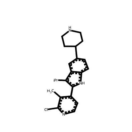 Cc1c(-c2[nH]c3ccc(C4CCNCC4)cc3c2C(C)C)ccnc1Cl